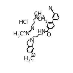 CCN=C=NCCCN(C)C.COc1ccc2c(c1)CN(CCCCNC(=O)c1ccc(-c3cccc(C#N)c3)cc1)CC2.Cl